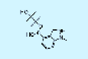 CN1NCc2c(B(O)OC(C)(C)C(C)(C)O)cccc21